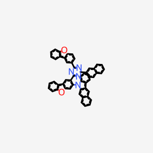 c1ccc2cc(-c3nc(-c4ccc5oc6ccccc6c5c4)nc(-c4cc5c(cc4-n4c6ccccc6c6cc7ccccc7cc64)oc4ccccc45)n3)ccc2c1